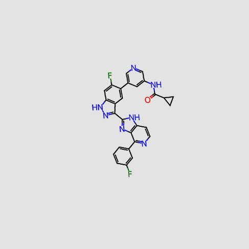 O=C(Nc1cncc(-c2cc3c(-c4nc5c(-c6cccc(F)c6)nccc5[nH]4)n[nH]c3cc2F)c1)C1CC1